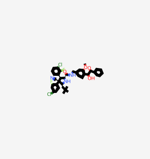 COc1cc(CNC(=O)[C@@H]2N[C@@H](CC(C)(C)C)[C@](C#N)(c3ccc(Cl)cc3F)[C@H]2c2cccc(Cl)c2F)ccc1C(O)C(=O)c1ccccc1